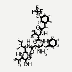 CC[C@H](C)[C@H](NC(=O)C[C@H](N)[C@H](Cc1ccccc1)NC(=O)C(NC(=O)Cc1cccc(OC(F)(F)F)c1)C(C)C)C(=O)NC(C(=O)O)C(C)C